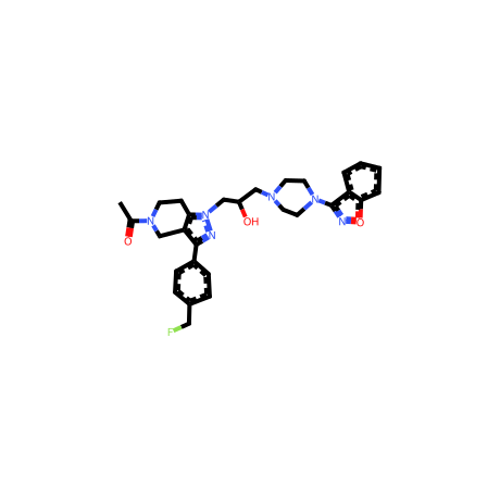 CC(=O)N1CCc2c(c(-c3ccc(CF)cc3)nn2CC(O)CN2CCN(c3noc4ccccc34)CC2)C1